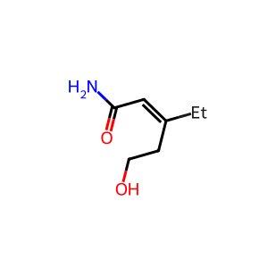 CCC(=CC(N)=O)CCO